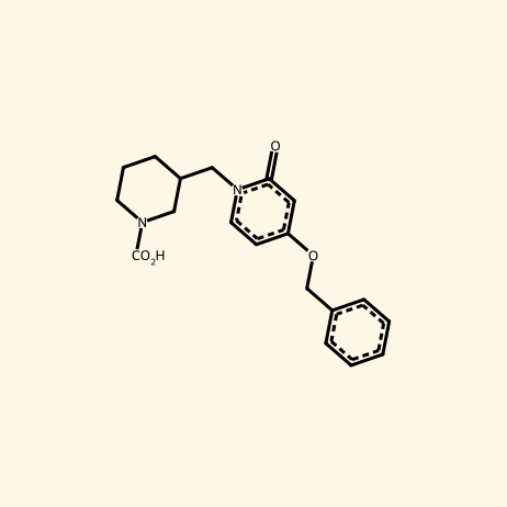 O=C(O)N1CCCC(Cn2ccc(OCc3ccccc3)cc2=O)C1